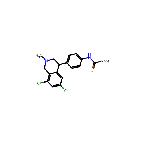 CNC(=S)Nc1ccc(C2CN(C)Cc3c(Cl)cc(Cl)cc32)cc1